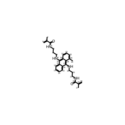 C=C(C)C(=O)NCCCNc1c2ccccc2c(NCCCNC(=O)C(=C)C)c2c(C)cccc12